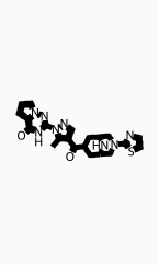 Cc1c(C(=O)C2CC3CN(c4nccs4)CC(C2)N3)cnn1-c1nn2cccc2c(=O)[nH]1